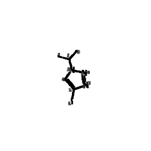 CC(C)n1cc(I)nn1